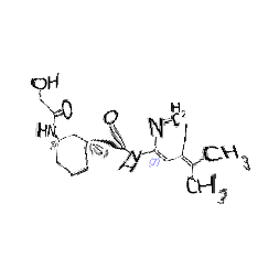 C=N/C(=C\C(I)=C(C)C)NC(=O)[C@H]1CCC[C@@H](NC(=O)CO)C1